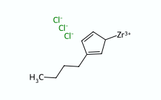 CCCCC1=C[CH]([Zr+3])C=C1.[Cl-].[Cl-].[Cl-]